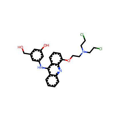 OCc1cc(O)cc(Nc2c3ccccc3nc3c(OCCN(CCCl)CCCl)cccc23)c1